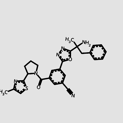 Cc1csc(C2CCCN2C(=O)c2cc(C#N)cc(-c3nnc(C(C)(N)Cc4ccccc4)o3)c2)n1